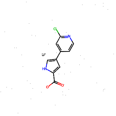 O=C([O-])c1cc(-c2ccnc(Cl)c2)c[nH]1.[Li+]